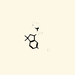 CC(C)(C)OC(=O)NC1CC(C)(C)c2ccc(C(=O)O)cc21